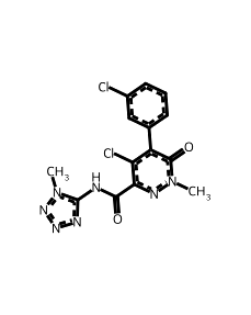 Cn1nnnc1NC(=O)c1nn(C)c(=O)c(-c2cccc(Cl)c2)c1Cl